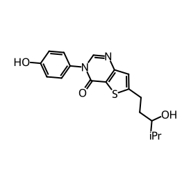 CC(C)C(O)CCc1cc2ncn(-c3ccc(O)cc3)c(=O)c2s1